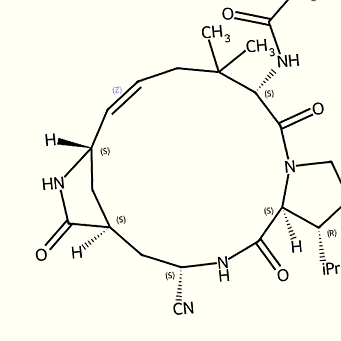 CC(C)[C@H]1CCN2C(=O)[C@@H](NC(=O)C(F)(F)F)C(C)(C)C/C=C\[C@@H]3C[C@@H](C[C@@H](C#N)NC(=O)[C@H]12)C(=O)N3